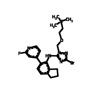 C[Si](C)(C)CCOCn1nc(Br)nc1Nc1c(-c2ccnc(F)c2)ccc2c1CCC2